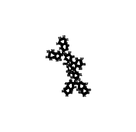 C[Si]1(C)c2cc(N(c3ccc4ccccc4c3)c3ccc4ccccc4c3)ccc2-c2c1c1c(c3ccccc23)-c2ccc(N(c3ccc4ccccc4c3)c3ccc4ccccc4c3)cc2[Si]1(C)C